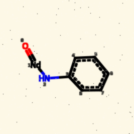 [O]=[Nd][NH]c1ccccc1